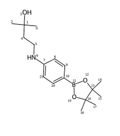 CC(C)(O)CCNc1ccc(B2OC(C)(C)C(C)(C)O2)cc1